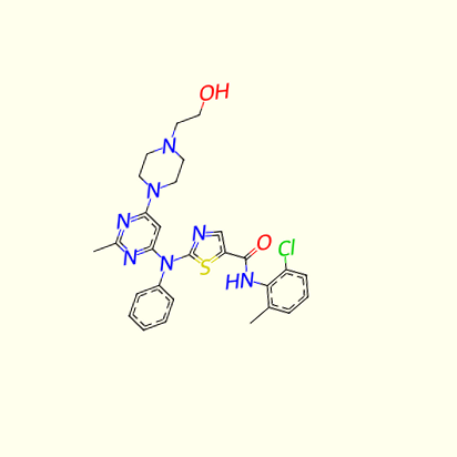 Cc1nc(N2CCN(CCO)CC2)cc(N(c2ccccc2)c2ncc(C(=O)Nc3c(C)cccc3Cl)s2)n1